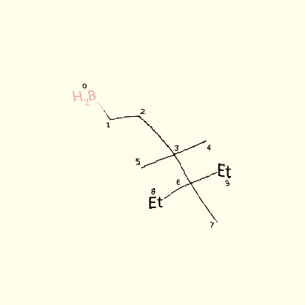 BCCC(C)(C)C(C)(CC)CC